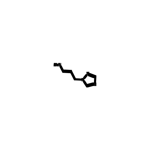 CNC=CCn1cncn1